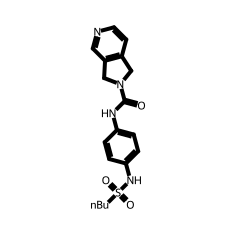 CCCCS(=O)(=O)Nc1ccc(NC(=O)N2Cc3ccncc3C2)cc1